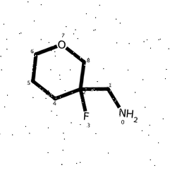 NCC1(F)CCCOC1